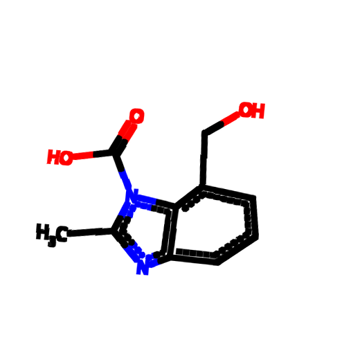 Cc1nc2cccc(CO)c2n1C(=O)O